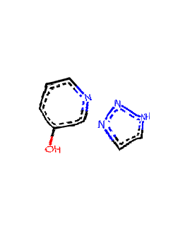 Oc1cccnc1.c1c[nH]nn1